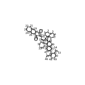 Cc1ccc2ccccc2c1N1/C(=C\C=C2C(=O)c3cc4ccccc4cc3C2=O)C2(CCCCC2)c2c1ccc1cc(-c3c(C(C)C)cccc3C(C)C)ccc21